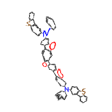 c1ccc(N(c2ccc3c(c2)oc2cc4c(cc23)oc2cc3c(cc24)oc2cc(N(c4ccccc4)c4ccc5sc6ccccc6c5c4)ccc23)c2ccc3sc4ccccc4c3c2)cc1